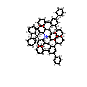 c1ccc(-c2cc(-c3ccccc3)c(B3c4cccc5c4N4c6c3cccc6C3(c6ccccc6-c6ccccc63)c3cccc(c34)B5c3c(-c4ccccc4)cc(-c4ccccc4)cc3-c3ccccc3)c(-c3ccccc3)c2)cc1